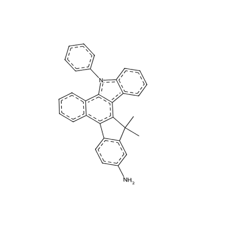 CC1(C)c2cc(N)ccc2-c2c1c1c3ccccc3n(-c3ccccc3)c1c1ccccc21